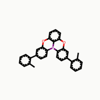 Cc1ccccc1-c1ccc2c(c1)Oc1cccc3c1P2c1ccc(-c2ccccc2C)cc1O3